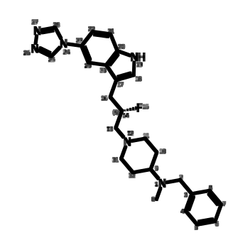 CN(Cc1ccccc1)C1CCN(C[C@@H](F)Cc2c[nH]c3ccc(-n4cnnc4)cc23)CC1